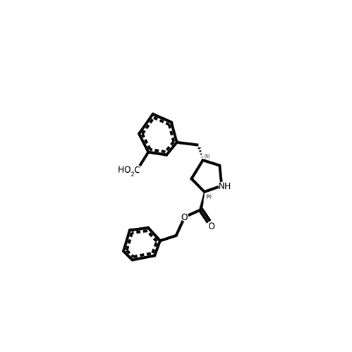 O=C(O)c1cccc(C[C@@H]2CN[C@@H](C(=O)OCc3ccccc3)C2)c1